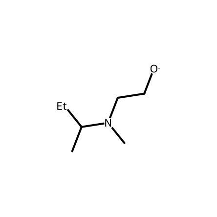 CCC(C)N(C)CC[O]